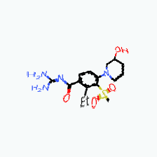 CCc1c(C(=O)N=C(N)N)ccc(N2CCCC(O)C2)c1S(C)(=O)=O